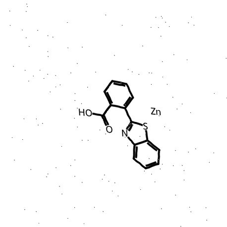 O=C(O)c1ccccc1-c1nc2ccccc2s1.[Zn]